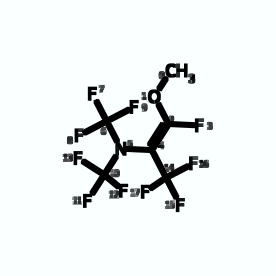 COC(F)=C(N(C(F)(F)F)C(F)(F)F)C(F)(F)F